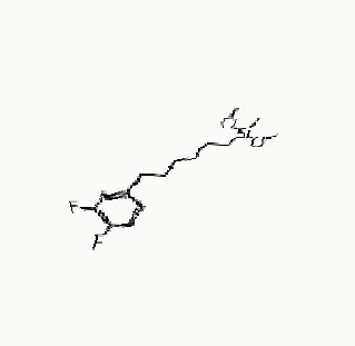 CO[Si](C)(CCCCCCc1ccc(F)c(F)c1)OC